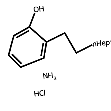 CCCCCCCCCc1ccccc1O.Cl.N